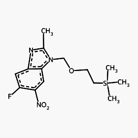 Cc1nc2cc(F)c([N+](=O)[O-])cc2n1COCC[Si](C)(C)C